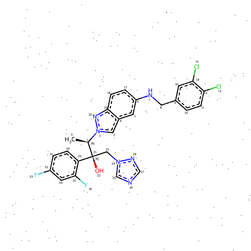 C[C@@H](n1cc2cc(NCc3ccc(Cl)c(Cl)c3)ccc2n1)[C@](O)(Cn1cncn1)c1ccc(F)cc1F